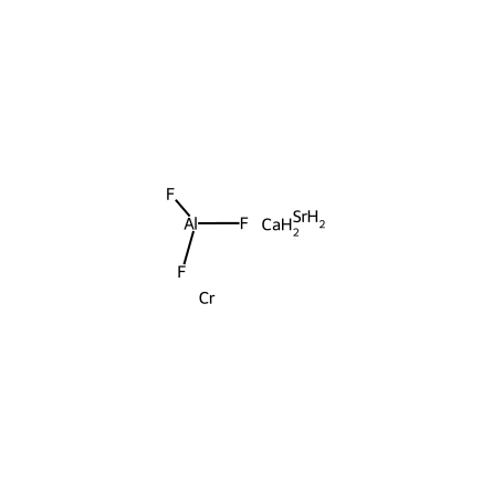 [CaH2].[Cr].[F][Al]([F])[F].[SrH2]